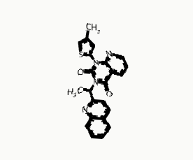 Cc1csc(-n2c(=O)n(C(C)c3ccc4ccccc4n3)c(=O)c3cccnc32)c1